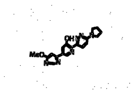 COc1cc(-c2cnc(-c3ccc(N4CCCC4)nn3)c(O)c2)ncn1